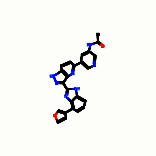 CCC(=O)Nc1cncc(-c2ccc3[nH]nc(-c4nc5c(-c6ccoc6)cccc5[nH]4)c3n2)c1